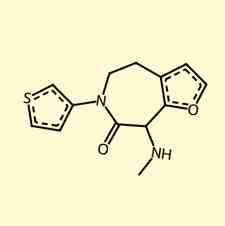 CNC1C(=O)N(c2ccsc2)CCc2ccoc21